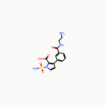 NCCNC(=O)c1cccc(-c2ccn(S(N)(=O)=O)c2C(=O)O)c1